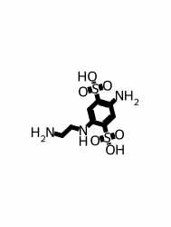 NCCNc1cc(S(=O)(=O)O)c(N)cc1S(=O)(=O)O